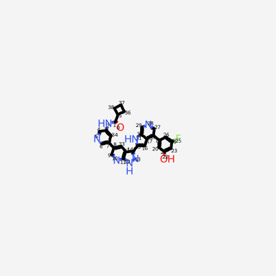 O=C(Nc1cncc(-c2cnc3[nH]nc(-c4cc5c(-c6cc(O)cc(F)c6)cncc5[nH]4)c3c2)c1)C1CCC1